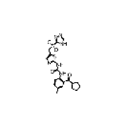 Cc1ccc(NC(=O)Nc2ncc(CS(=O)(=O)c3nnc[nH]3)s2)c(C(=O)C2CCCC2)c1